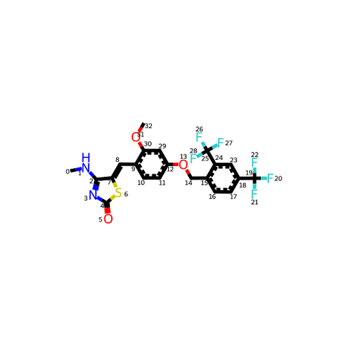 CNC1=NC(=O)S/C1=C\c1ccc(OCc2ccc(C(F)(F)F)cc2C(F)(F)F)cc1OC